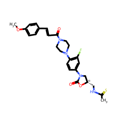 COc1ccc(C=CC(=O)N2CCN(c3ccc(N4C[C@H](CNC(C)=S)OC4=O)cc3F)CC2)cc1